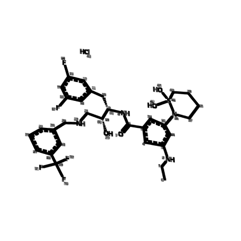 CCNc1cc(C(=O)N[C@@H](Cc2cc(F)cc(F)c2)[C@H](O)CNCc2cccc(C(F)(F)F)c2)cc(N2CCCCS2(O)O)c1.Cl